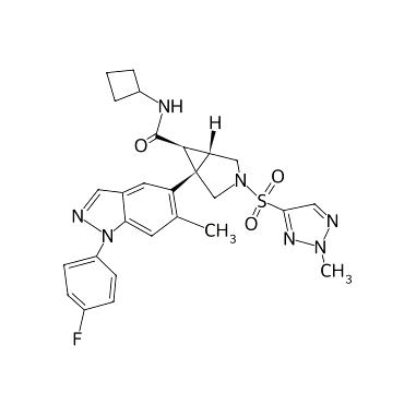 Cc1cc2c(cnn2-c2ccc(F)cc2)cc1[C@]12CN(S(=O)(=O)c3cnn(C)n3)C[C@H]1[C@@H]2C(=O)NC1CCC1